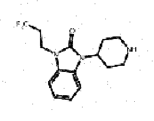 O=c1n(CCC(F)(F)F)c2ccccc2n1C1CCNCC1